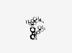 CC(=O)O.CC(C)(C)OC(=O)N1CCC(c2cccnc2F)CC1